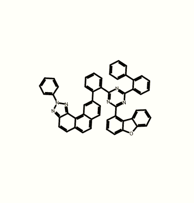 c1ccc(-c2ccccc2-c2nc(-c3ccccc3-c3ccc4ccc5ccc6nn(-c7ccccc7)nc6c5c4c3)nc(-c3cccc4oc5ccccc5c34)n2)cc1